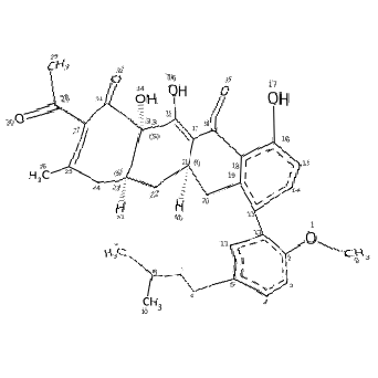 COc1ccc(CCC(C)C)cc1-c1ccc(O)c2c1C[C@H]1C[C@H]3CC(C)=C(C(C)=O)C(=O)[C@@]3(O)C(O)=C1C2=O